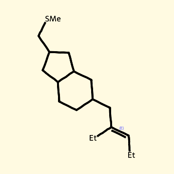 CC/C=C(\CC)CC1CCC2CC(CSC)CC2C1